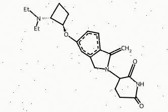 C=C1c2ccc(O[C@@H]3CC[C@H]3N(CC)CC)cc2CN1C1CCC(=O)NC1=O